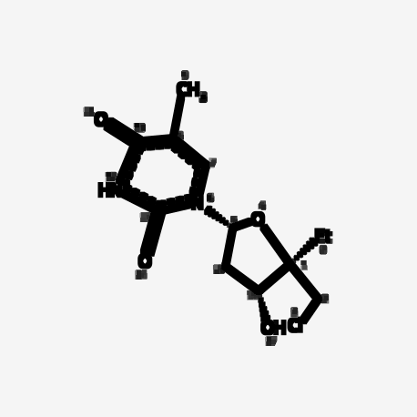 CC[C@@]1(CCl)O[C@@H](n2cc(C)c(=O)[nH]c2=O)C[C@H]1O